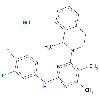 Cc1nc(Nc2ccc(F)c(F)c2)nc(N2CCc3ccccc3C2C)c1C.Cl